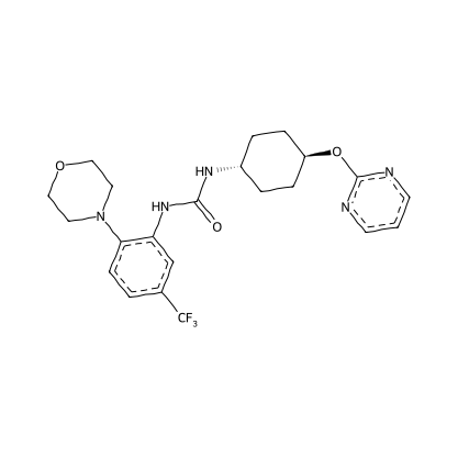 O=C(Nc1cc(C(F)(F)F)ccc1N1CCOCC1)N[C@H]1CC[C@H](Oc2ncccn2)CC1